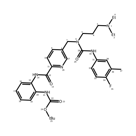 CCN(CC)CCCN(Cc1ccc(C(=O)Nc2ccccc2NC(=O)OC(C)(C)C)nc1)C(=O)Nc1ccc(F)c(C)c1